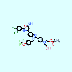 CC(=O)OCCN(CCO)c1ccc(-c2nc3cc(C(CC(N)=O)NCc4ccc(Cl)c(Cl)c4)ccc3n2Cc2ccc(OC(F)(F)F)cc2)cc1